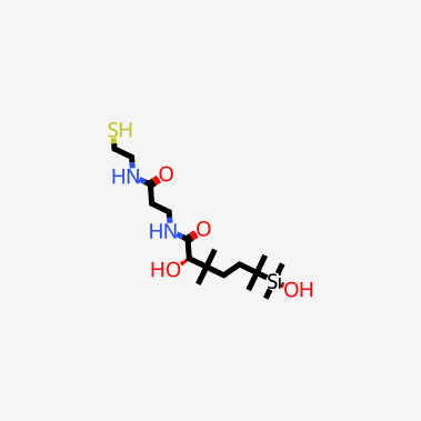 CC(C)(CCC(C)(C)[Si](C)(C)O)[C@@H](O)C(=O)NCCC(=O)NCCS